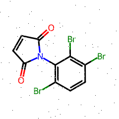 O=C1C=CC(=O)N1c1c(Br)ccc(Br)c1Br